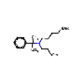 CCCCCCCCCCCCCCN(CCCCCCCCCCCC)C(C)(C)c1ccccc1